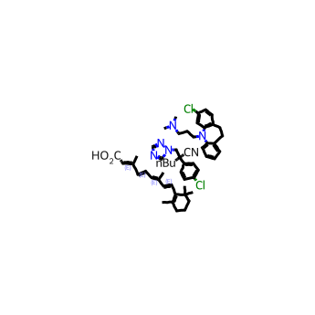 CC1=C(/C=C/C(C)=C/C=C/C(C)=C/C(=O)O)C(C)(C)CCC1.CCCCC(C#N)(Cn1cncn1)c1ccc(Cl)cc1.CN(C)CCCN1c2ccccc2CCc2ccc(Cl)cc21